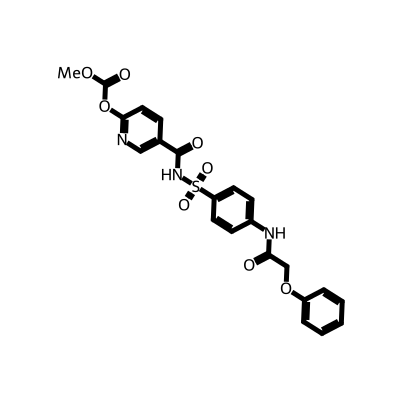 COC(=O)Oc1ccc(C(=O)NS(=O)(=O)c2ccc(NC(=O)COc3ccccc3)cc2)cn1